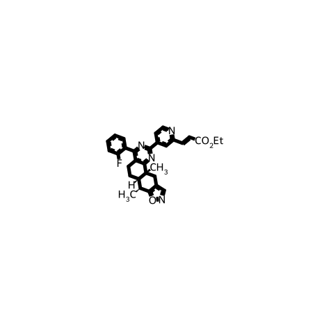 CCOC(=O)/C=C/c1cc(-c2nc(-c3ccccc3F)c3c(n2)[C@]2(C)Cc4cnoc4[C@H](C)[C@H]2CC3)ccn1